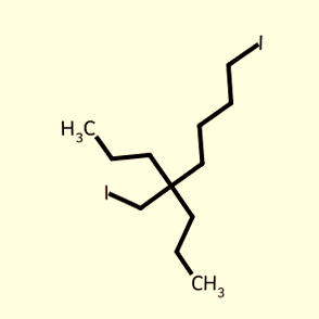 CCCC(CI)(CCC)CCCCI